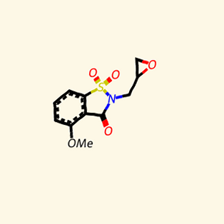 COc1cccc2c1C(=O)N(CC1CO1)S2(=O)=O